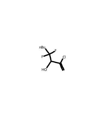 [CH]=C(Cl)C(O)C(F)(F)CCCC